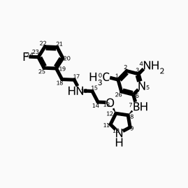 Cc1cc(N)nc(B[C@@H]2CNC[C@@H]2OCCNCCc2cccc(F)c2)c1